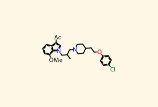 COc1cccc2c(C(C)=O)cn(CC(C)CN3CCC(CCOc4ccc(Cl)cc4)CC3)c12